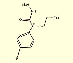 NNC(=O)[C@H](CCO)c1ccc(F)cc1